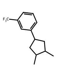 CC1CC(c2cccc(C(F)(F)F)c2)CC1C